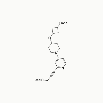 COCC#Cc1cc(N2CCC(OC3CC(OC)C3)CC2)ccn1